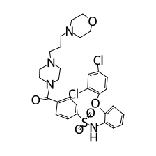 O=C(c1ccc(S(=O)(=O)Nc2ccccc2Oc2ccc(Cl)cc2Cl)cc1)N1CCN(CCCN2CCOCC2)CC1